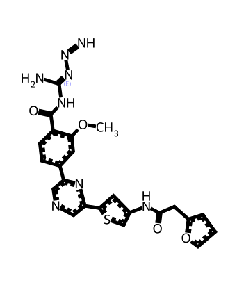 COc1cc(-c2cncc(-c3cc(NC(=O)Cc4ccco4)cs3)n2)ccc1C(=O)N/C(N)=N/N=N